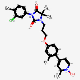 Cc1cc(OCCCN2C(=O)N(c3ccc(C#N)c(Cl)c3)C(=O)C2(C)C)ccc1C1=CC(C)N(O)C=C1